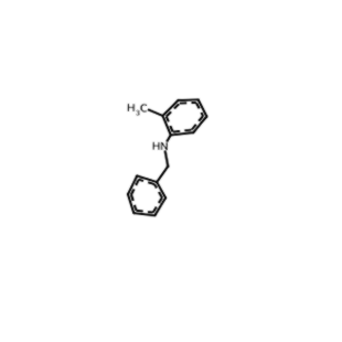 Cc1ccccc1NCc1ccccc1